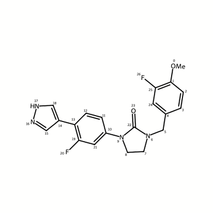 COc1ccc(CN2CCN(c3ccc(-c4cn[nH]c4)c(F)c3)C2=O)cc1F